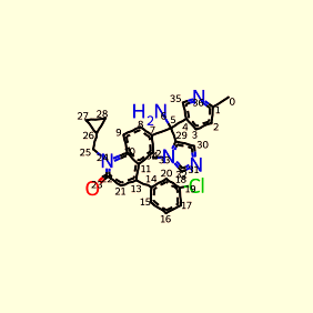 Cc1ccc(C(N)(c2ccc3c(c2)c(-c2cccc(Cl)c2)cc(=O)n3CC2CC2)c2cncn2C)cn1